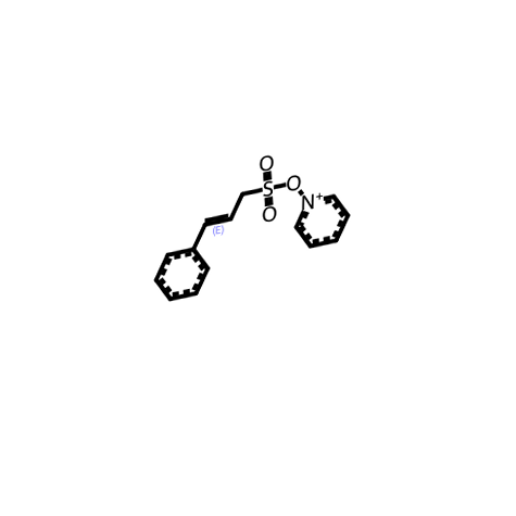 O=S(=O)(C/C=C/c1ccccc1)O[n+]1ccccc1